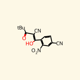 CC(C)(C)C(=O)/C(C#N)=C(\O)c1ccc(C#N)cc1[N+](=O)[O-]